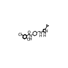 O=C(N[C@H]1CC[C@H](CNc2cc(C3CC3)n[nH]2)CC1)c1cc(Cl)ccc1Cl